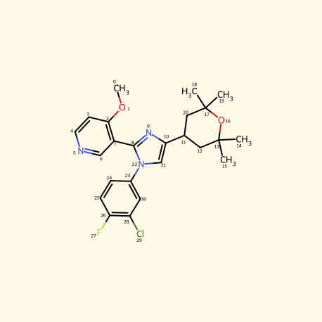 COc1ccncc1-c1nc(C2CC(C)(C)OC(C)(C)C2)cn1-c1ccc(F)c(Cl)c1